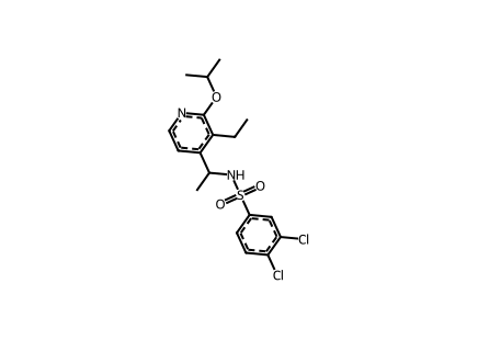 CCc1c(C(C)NS(=O)(=O)c2ccc(Cl)c(Cl)c2)ccnc1OC(C)C